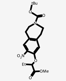 CCC(Oc1cc2c(cc1[N+](=O)[O-])CCN(C(=O)OC(C)(C)C)CC2)C(=O)OC